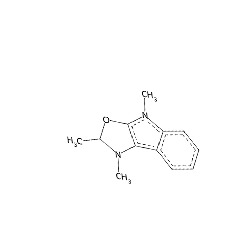 CC1Oc2c(c3ccccc3n2C)N1C